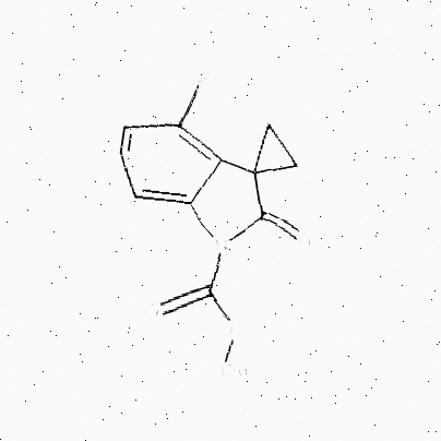 CC(C)(C)OC(=O)N1C(=O)C2(CC2)c2c(Br)cccc21